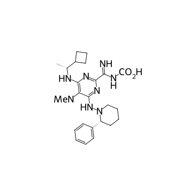 CNc1c(N[C@H](C)C2CCC2)nc(C(=N)NC(=O)O)nc1NN1CCCC[C@@H]1c1ccccc1